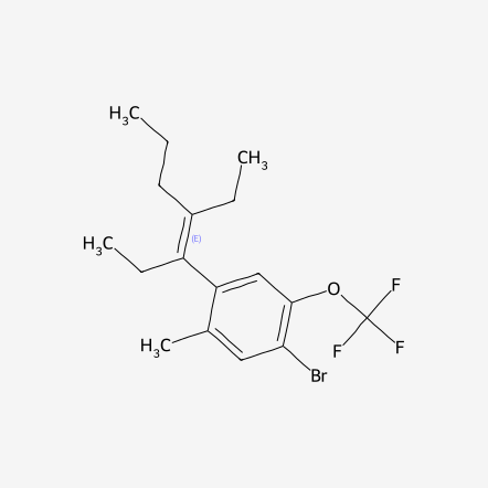 CCC/C(CC)=C(\CC)c1cc(OC(F)(F)F)c(Br)cc1C